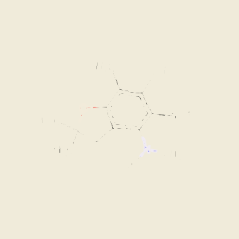 CC(=O)Nc1c(C)c(C)c2c(c1N(C)C)CC(C)(C)O2